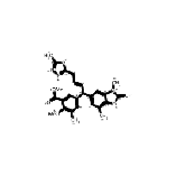 COC(=O)c1cc(C(C=CCc2nnc(C)o2)c2cc(C)c3oc(=O)n(C)c3c2)cc(C)c1OC